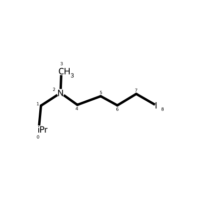 CC(C)CN(C)CCCCI